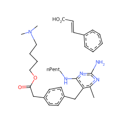 CCCCCNc1nc(N)nc(C)c1Cc1ccc(CC(=O)OCCCCN(C)C)cc1.O=C(O)C=Cc1ccccc1